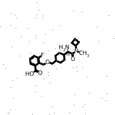 CN(C(=O)[C@@H](N)C1CCC(COCc2c(F)cccc2C(=O)O)CC1)C1CCC1